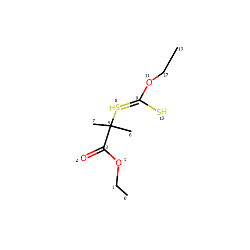 CCOC(=O)C(C)(C)[SH]=C(S)OCC